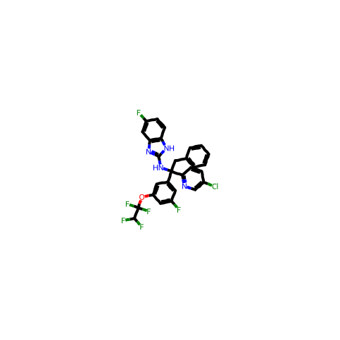 Fc1cc(OC(F)(F)C(F)F)cc(C(Cc2ccccc2)(Nc2nc3cc(F)ccc3[nH]2)c2ccc(Cl)cn2)c1